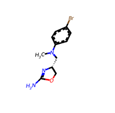 CN(C[C@@H]1COC(N)=N1)c1ccc(Br)cc1